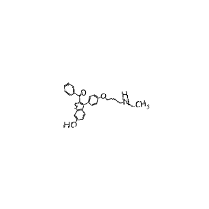 CCNCCCOc1ccc(-c2c(C(=O)c3ccccc3)sc3cc(O)ccc23)cc1